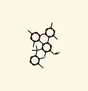 Cc1cc(C)c(-c2cc(P=O)c3c(c2-c2c(C)cc(C)cc2C)C(C)(C)c2cccc(Br)c2O3)c(C)c1